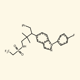 CC(C)CC(c1ccc2c(cnn2-c2ccc(F)cc2)c1)C(C)(C)CNS(=O)(=O)CC(F)(F)F